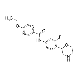 CCOc1cnc(C(=O)Nc2ccc(C3CNCCO3)c(F)c2)cn1